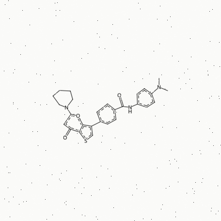 CN(C)c1ccc(NC(=O)c2ccc(-c3csc4c(=O)cc(N5CCCCC5)oc34)cc2)cc1